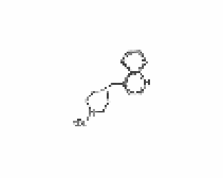 CC(C)(C)N1CCN(Cc2ccnc3ccccc23)CC1